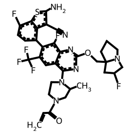 C=CC(=O)N1CCN(c2nc(OCC34CCCN3CC(F)C4)nc3c(F)c(-c4ccc(F)c5sc(N)c(C#N)c45)c(C(F)(F)F)cc23)C(C)C1